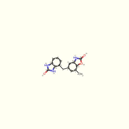 Cc1cc(Cc2cccc3[nH]c(=O)[nH]c23)cc2[nH]c(=O)oc12